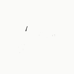 O.O.O.O.O.O=S(=O)(O)O.P.P